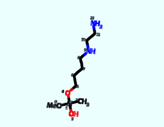 CO[Si](C)(O)OCCCCNCCN